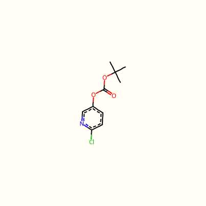 CC(C)(C)OC(=O)Oc1ccc(Cl)nc1